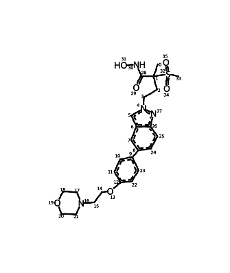 CC(CCn1cc2cc(-c3ccc(OCCN4CCOCC4)cc3)ccc2n1)(C(=O)NO)S(C)(=O)=O